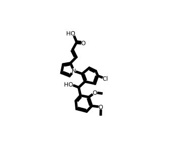 COc1cccc(C(O)c2cc(Cl)ccc2-n2cccc2C=CC(=O)O)c1OC